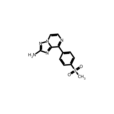 CS(=O)(=O)c1ccc(-c2nccn3nc(N)nc23)cc1